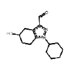 O=Cc1nn(C2CCCCC2)c2c1CC(O)CC2